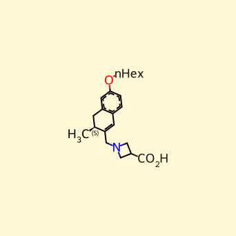 CCCCCCOc1ccc2c(c1)C[C@H](C)C(CN1CC(C(=O)O)C1)=C2